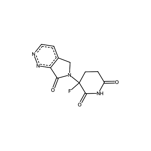 O=C1CCC(F)(N2Cc3ccnnc3C2=O)C(=O)N1